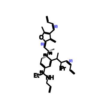 C=C/C=C\c1c(C)o/c(=C/[C@H](C)[C@H]2CC=C([C@H](CC)NCC=C)C=C2C(C)C(/C=C\C=C)C(C)C)c1=C